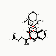 N=C(CCC(=O)O)c1nc2ccccc2n([C@H]2C[C@H]3CCC[C@@H](C2)N3C2CC3CCCC(C3)C2)c1=O